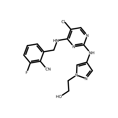 N#Cc1c(F)cccc1CNc1nc(Nc2cnn(CCO)c2)ncc1Cl